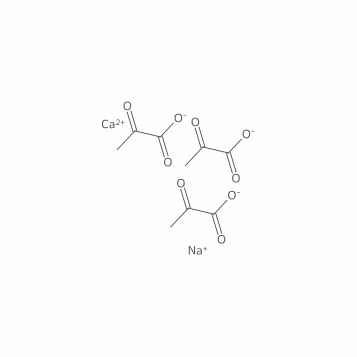 CC(=O)C(=O)[O-].CC(=O)C(=O)[O-].CC(=O)C(=O)[O-].[Ca+2].[Na+]